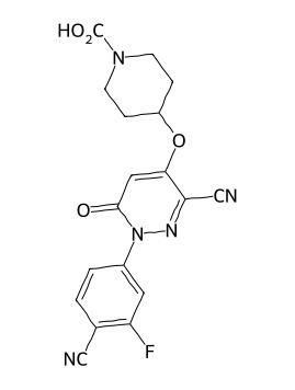 N#Cc1ccc(-n2nc(C#N)c(OC3CCN(C(=O)O)CC3)cc2=O)cc1F